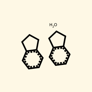 O.c1ccc2c(c1)CCC2.c1ccc2c(c1)CCC2